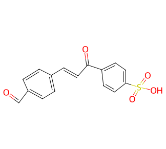 O=Cc1ccc(C=CC(=O)c2ccc(S(=O)(=O)O)cc2)cc1